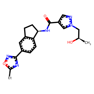 CCc1nc(-c2ccc3c(c2)CC[C@H]3NC(=O)c2cnn(C[C@@H](C)O)c2)no1